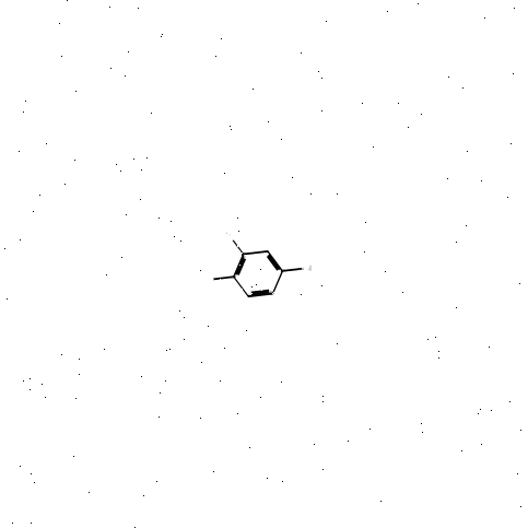 Nc1ccc([S])c(N)c1